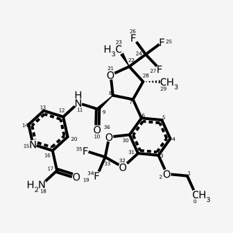 CCOc1ccc(C2[C@@H](C(=O)Nc3ccnc(C(N)=O)c3)O[C@](C)(C(F)(F)F)[C@@H]2C)c2c1OC(F)(F)O2